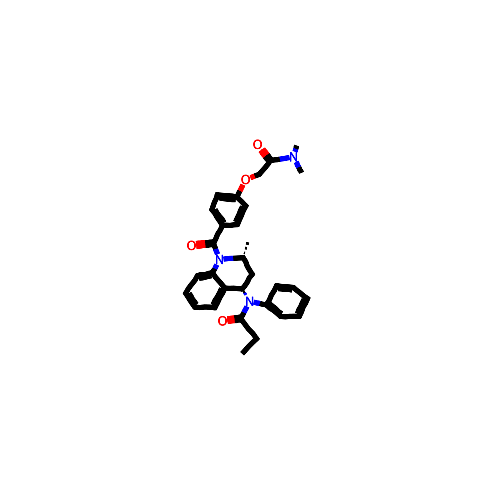 CCC(=O)N(c1ccccc1)[C@H]1C[C@@H](C)N(C(=O)c2ccc(OCC(=O)N(C)C)cc2)c2ccccc21